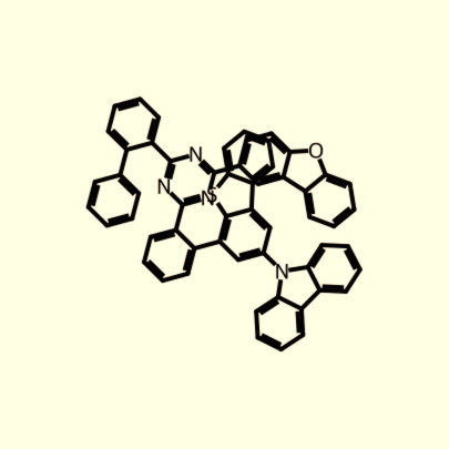 c1ccc(-c2ccccc2-c2nc(-c3ccc4oc5ccccc5c4c3)nc(-c3ccccc3-c3cc(-n4c5ccccc5c5ccccc54)cc4c3sc3ccccc34)n2)cc1